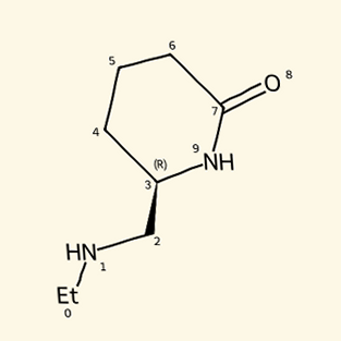 CCNC[C@H]1CCCC(=O)N1